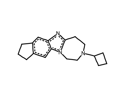 c1c2c(cc3c1nc1n3CCN(C3CCC3)CC1)CCC2